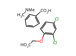 CNC.O=C(O)COc1ccc(Cl)cc1Cl.O=C(O)c1ccccc1